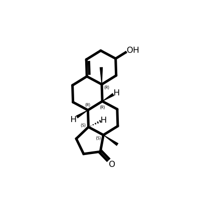 C[C@]12CC(O)CC=C1CC[C@@H]1[C@H]2CC[C@]2(C)C(=O)CC[C@@H]12